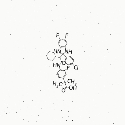 CC(C)(C(=O)O)c1ccc(NC(=O)C(C2CCCCC2)C2(c3ccc(Cl)cc3)Nc3cc(F)c(F)cc3N2)c(F)c1